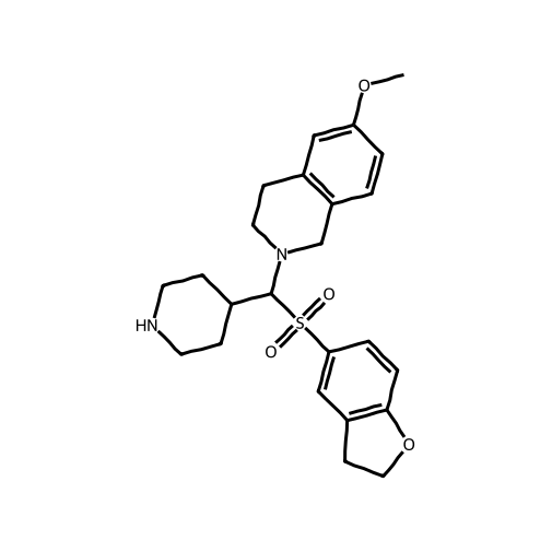 COc1ccc2c(c1)CCN(C(C1CCNCC1)S(=O)(=O)c1ccc3c(c1)CCO3)C2